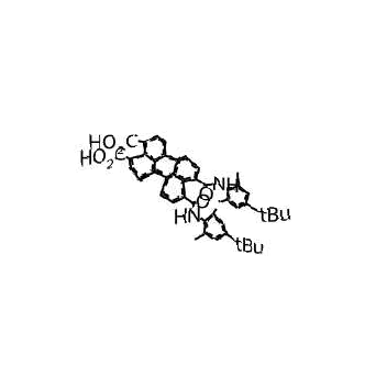 Cc1cc(C(C)(C)C)cc(C)c1NC(=O)c1ccc2c3ccc(C(=O)O)c4c(C(=O)O)ccc(c5ccc(C(=O)Nc6c(C)cc(C(C)(C)C)cc6C)c1c25)c43